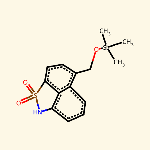 C[Si](C)(C)OCc1ccc2c3c(cccc13)NS2(=O)=O